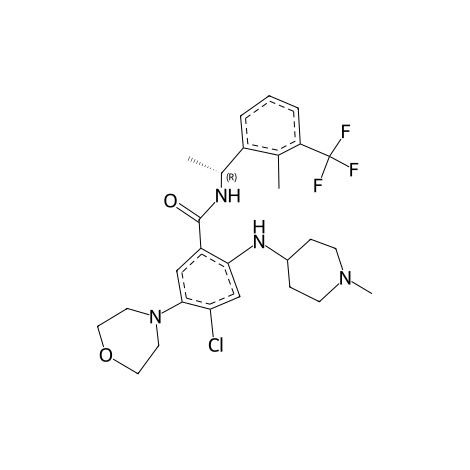 Cc1c([C@@H](C)NC(=O)c2cc(N3CCOCC3)c(Cl)cc2NC2CCN(C)CC2)cccc1C(F)(F)F